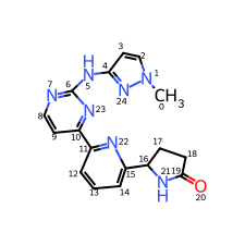 Cn1ccc(Nc2nccc(-c3cccc(C4CCC(=O)N4)n3)n2)n1